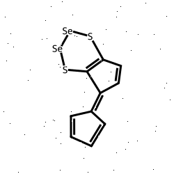 C1=CC(=C2C=Cc3s[se][se]sc32)C=C1